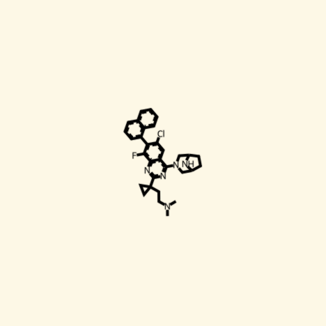 CN(C)CCC1(c2nc(N3CC4CCC(C3)N4)c3cc(Cl)c(-c4cccc5ccccc45)c(F)c3n2)CC1